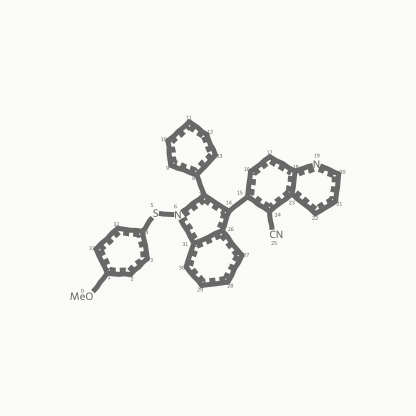 COc1ccc(Sn2c(-c3ccccc3)c(-c3ccc4ncccc4c3C#N)c3ccccc32)cc1